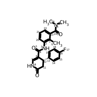 Cc1c(NC(=O)C2=CNC(=O)C[C@H]2c2ccc(F)cc2)cccc1C(=O)N(C)C